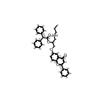 CCCNCC(COc1ccc2oc(-c3ccccc3)cc(=O)c2c1)OC(=O)C(c1ccccc1)c1ccccc1